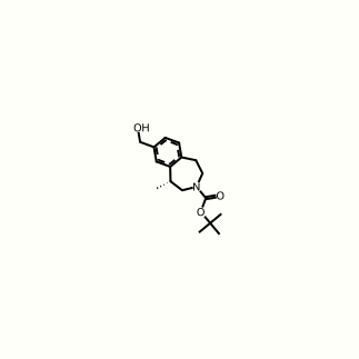 C[C@H]1CN(C(=O)OC(C)(C)C)CCc2ccc(CO)cc21